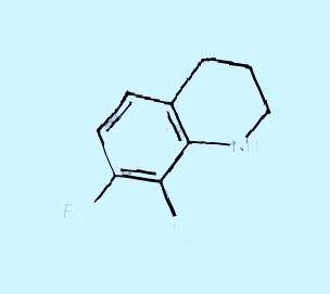 FC(F)(F)c1ccc2c(c1Cl)NCCC2